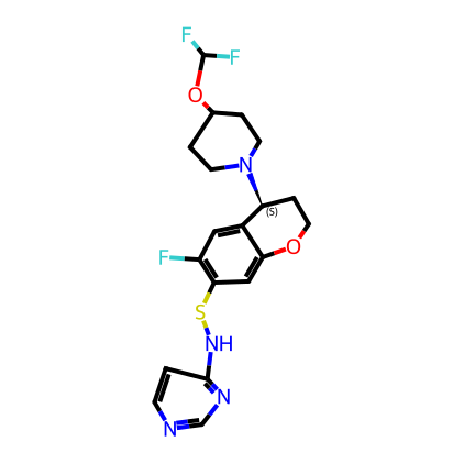 Fc1cc2c(cc1SNc1ccncn1)OCC[C@@H]2N1CCC(OC(F)F)CC1